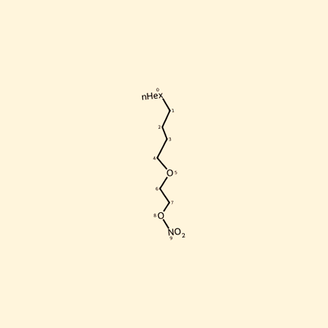 CCCCCCCCCCOCCO[N+](=O)[O-]